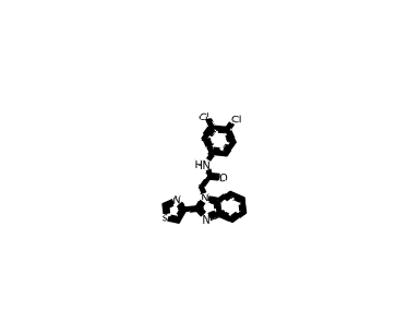 O=C(Cn1c(-c2cscn2)nc2ccccc21)Nc1ccc(Cl)c(Cl)c1